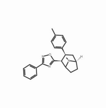 Cc1ccc([C@H]2C[C@H]3CCC([C@H]2c2nc(-c4ccccc4)no2)N3C)cc1